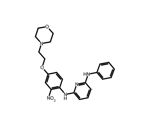 O=[N+]([O-])c1cc(OCCN2CCOCC2)ccc1Nc1cc[c]c(Nc2ccccc2)n1